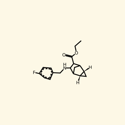 CCOC(=O)C1C(NCc2ccc(F)cc2)C2CC1[C@@H]1C[C@H]21